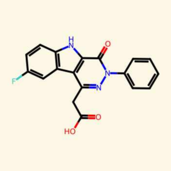 O=C(O)Cc1nn(-c2ccccc2)c(=O)c2[nH]c3ccc(F)cc3c12